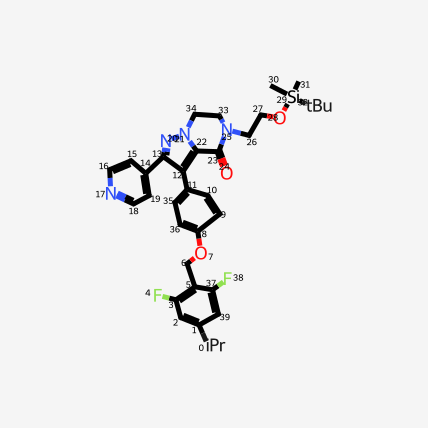 CC(C)c1cc(F)c(COc2ccc(-c3c(-c4ccncc4)nn4c3C(=O)N(CCO[Si](C)(C)C(C)(C)C)CC4)cc2)c(F)c1